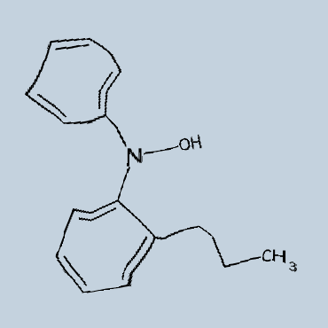 CCCc1ccccc1N(O)c1ccccc1